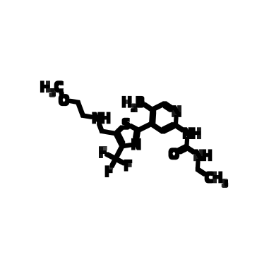 Bc1cnc(NC(=O)NCC)cc1-c1nc(C(F)(F)F)c(CNCCOC)s1